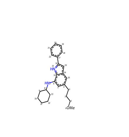 COCCCc1cc(NC2CCCCC2)c2[nH]c(-c3ccccc3)cc2c1